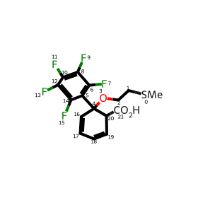 CSCCOC1(c2c(F)c(F)c(F)c(F)c2F)C=CC=CC1C(=O)O